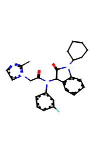 O=C1C(N(C(=O)Cn2ccnc2C(F)(F)F)c2cccc(F)c2)c2ccccc2N1C1CCCCC1